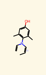 C=CN(/C=C\C)c1c(C)cc(O)cc1C